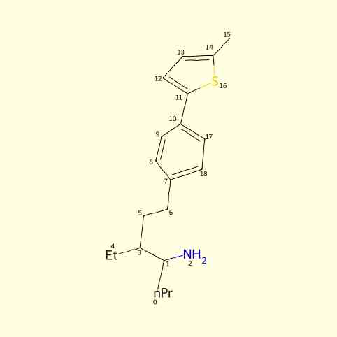 CCCC(N)C(CC)CCc1ccc(-c2ccc(C)s2)cc1